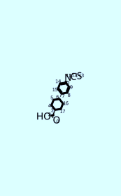 O=C(O)[C@H]1CC[C@H](c2ccc(N=C=S)cc2)CC1